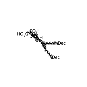 CCCCCCCCCCCCCCCCCCOCC(CSCCC(=O)Nc1ccc(C(=O)NC(CCC(=O)O)C(=O)O)cc1)OCCCCCCCCCCCCCCCCCC